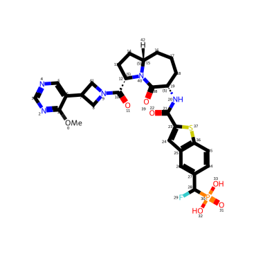 COc1ncncc1C1CN(C(=O)[C@@H]2CC[C@@H]3CCC[C@H](NC(=O)c4cc5cc(C(F)P(=O)(O)O)ccc5s4)C(=O)N32)C1